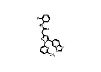 Cc1cccc(-n2nc(CC(=O)Nc3ccccc3F)cc2-c2ccc3ncnn3c2)n1